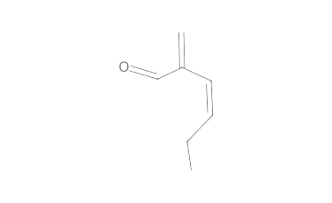 C=C(C=O)/C=C\CC